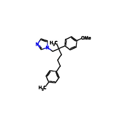 COc1ccc(C(C)(CCCc2ccc(C)cc2)Cn2ccnc2)cc1